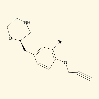 C#CCOc1ccc(C[C@@H]2CNCCO2)cc1Br